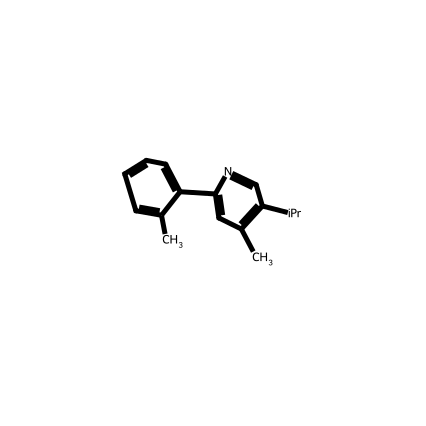 Cc1ccccc1-c1cc(C)c(C(C)C)cn1